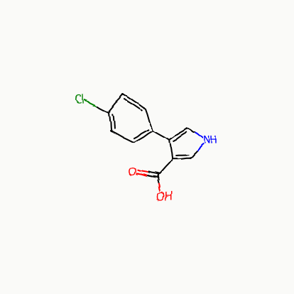 O=C(O)c1c[nH]cc1-c1ccc(Cl)cc1